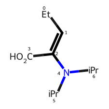 CC/C=C(\C(=O)O)N(C(C)C)C(C)C